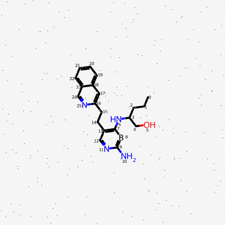 CCCC(CO)Nc1bc(N)ncc1CCc1cc2ccccc2cn1